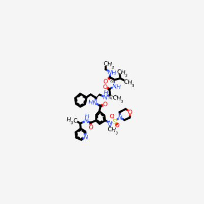 CCNC(=O)[C@@H](NC(=O)[C@H](C)NC[C@H](Cc1ccccc1)NC(=O)c1cc(C(=O)NC(C)c2cccnc2)cc(N(C)S(=O)(=O)N2CCOCC2)c1)C(C)C